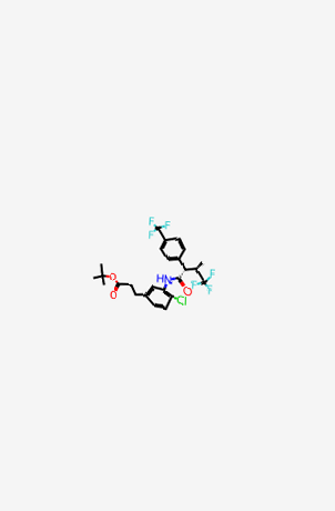 C[C@H]([C@H](C(=O)Nc1cc(CCC(=O)OC(C)(C)C)ccc1Cl)c1ccc(C(F)(F)F)cc1)C(F)(F)F